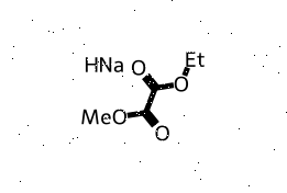 CCOC(=O)C(=O)OC.[NaH]